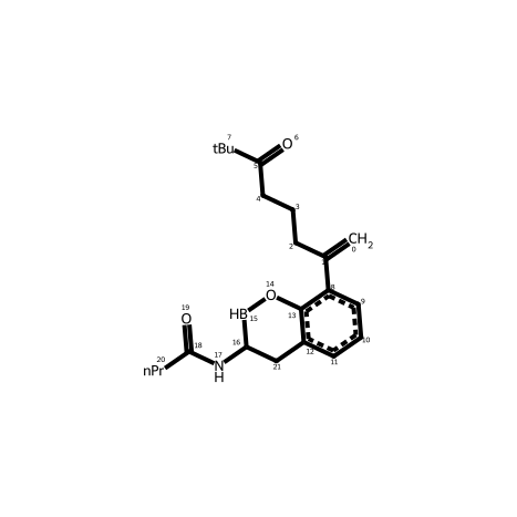 C=C(CCCC(=O)C(C)(C)C)c1cccc2c1OBC(NC(=O)CCC)C2